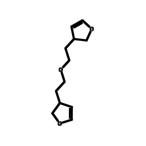 C1=CC(CCOCCC2C=COC2)CO1